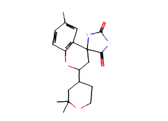 CC1(C)CC(C2CC3(NC(=O)NC3=O)c3cc(Br)ccc3O2)CCO1